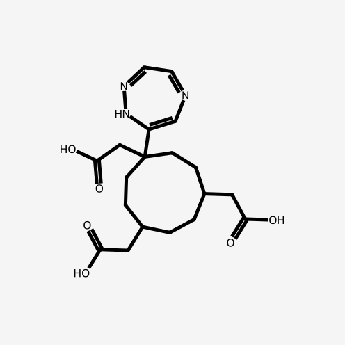 O=C(O)CC1CCC(CC(=O)O)CCC(CC(=O)O)(C2=CN=CC=NN2)CC1